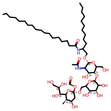 CCCCCCCCCCCCCCCCCC(=O)NC(CCCCCCCCCC)CO[C@@H]1OC(CO)[C@@H](O[C@@H]2OC(CO[C@]3(OC=O)C[C@@H](O)[C@@H](C)C([C@H](O)[C@H](O)CO)O3)[C@H](O)[C@H](O)C2O)[C@H](O)C1NC(C)=O